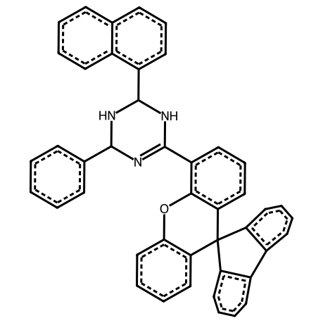 c1ccc(C2N=C(c3cccc4c3Oc3ccccc3C43c4ccccc4-c4ccccc43)NC(c3cccc4ccccc34)N2)cc1